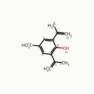 C=C(C)c1cc(C(=O)O)cc(C(=C)C)c1O